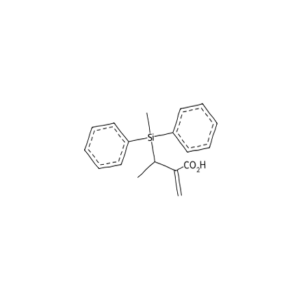 C=C(C(=O)O)C(C)[Si](C)(c1ccccc1)c1ccccc1